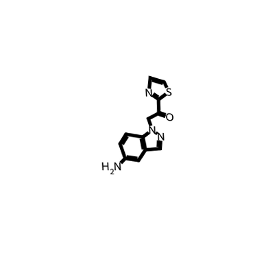 Nc1ccc2c(cnn2CC(=O)c2nccs2)c1